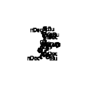 CCCCCCCCCCC(C)CN(CCCCC(OC(=O)OCc1ccccc1)C(=O)OC(CCCCN(CC(CCCCCCCCCC)O[Si](C)(C)C(C)(C)C)CC(CCCCCCCCCC)O[Si](C)(C)C(C)(C)C)C(=O)OCc1ccccc1)CC(CCCCCCCCCC)O[Si](C)(C)C(C)(C)C